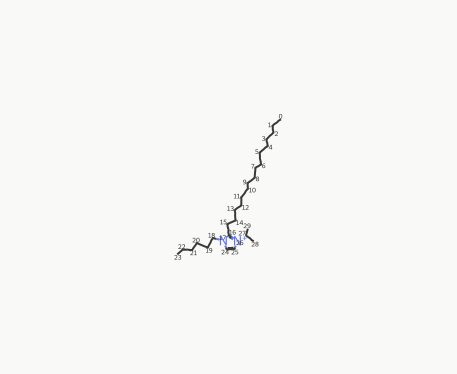 CCCCCCCCCCCCCCCCc1n(CCCCCC)cc[n+]1C(C)C